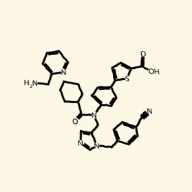 N#Cc1ccc(Cn2cncc2CN(C(=O)C2CCCCC2)c2ccc(-c3ccc(C(=O)O)s3)cc2)cc1.NCc1ccccn1